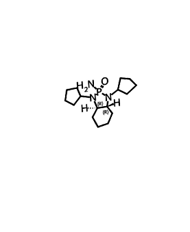 NP1(=O)N(C2CCCC2)[C@@H]2CCCC[C@H]2N1C1CCCC1